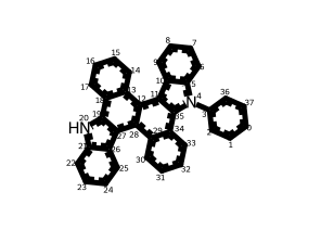 c1ccc(-n2c3ccccc3c3c4c5ccccc5c5[nH]c6ccccc6c5c4c4ccccc4c32)cc1